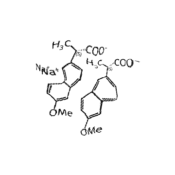 COc1ccc2cc([C@H](C)C(=O)[O-])ccc2c1.COc1ccc2cc([C@H](C)C(=O)[O-])ccc2c1.[Na+].[Na+]